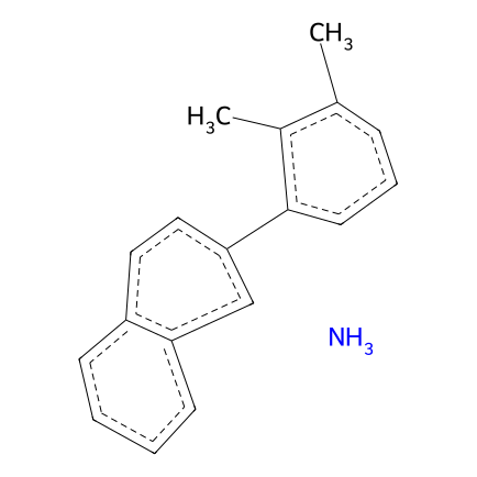 Cc1cccc(-c2ccc3ccccc3c2)c1C.N